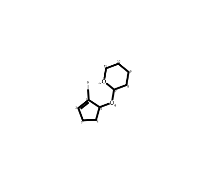 IC1=CCCC1OC1CCCCO1